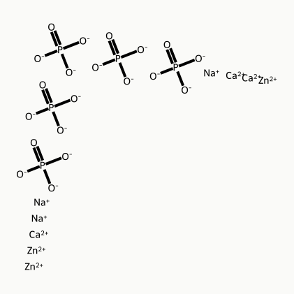 O=P([O-])([O-])[O-].O=P([O-])([O-])[O-].O=P([O-])([O-])[O-].O=P([O-])([O-])[O-].O=P([O-])([O-])[O-].[Ca+2].[Ca+2].[Ca+2].[Na+].[Na+].[Na+].[Zn+2].[Zn+2].[Zn+2]